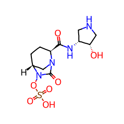 O=C(N[C@@H]1CNC[C@@H]1O)[C@@H]1CC[C@@H]2CN1C(=O)N2OS(=O)(=O)O